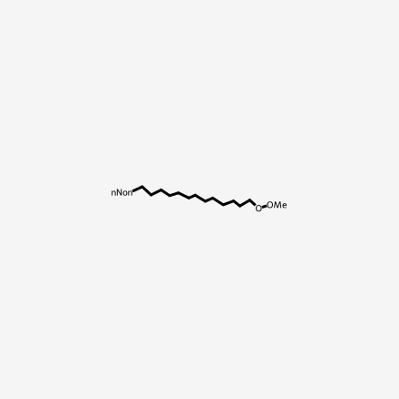 [CH2]OOCCCCCCCCCCCCCCCCCCCCCC